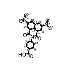 O=C(O)c1ccc(N2C(=O)c3cc([N+](=O)[O-])cc4cc([N+](=O)[O-])cc(c34)C2=O)cc1